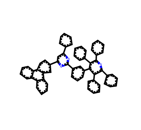 c1ccc(-c2cc(-c3ccc4c5ccccc5c5ccccc5c4c3)nc(-c3cccc(-c4c(-c5ccccc5)c(-c5ccccc5)nc(-c5ccccc5)c4-c4ccccc4)c3)n2)cc1